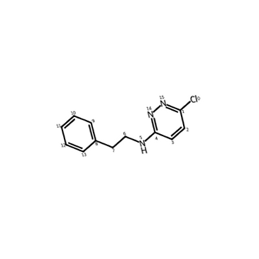 Clc1ccc(NCCc2ccccc2)nn1